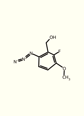 COc1ccc(N=[N+]=[N-])c(CO)c1F